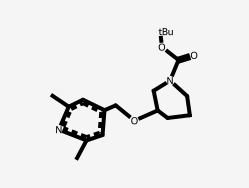 Cc1cc(COC2CCCN(C(=O)OC(C)(C)C)C2)cc(C)n1